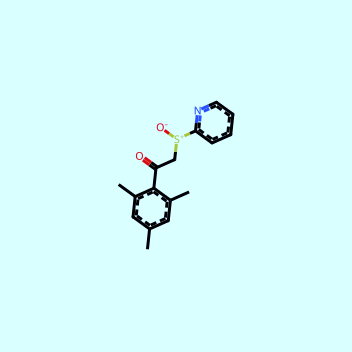 Cc1cc(C)c(C(=O)C[S+]([O-])c2ccccn2)c(C)c1